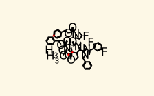 CC1(C)OC[C@@H](C(=O)N(C[C@@H]2CN(C(=O)OCc3ccccc3)C[C@@H]2F)[C@@H](c2nc(-c3cc(F)ccc3F)cn2Cc2ccccc2)C2CCOCC2)N1C(=O)OCc1ccccc1